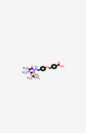 CC(C(=O)NNCc1ccc(OCc2ccc(C(=O)O)cc2)cc1)N(C)C(=O)OC(C)(C)C